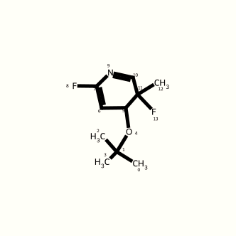 CC(C)(C)OC1C=C(F)N=CC1(C)F